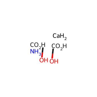 N.O=C(O)O.O=C(O)O.[CaH2]